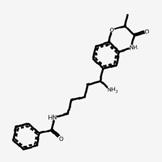 CC1Oc2ccc(C(N)CCCCNC(=O)c3ccccc3)cc2NC1=O